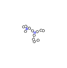 c1ccc(-c2cccc3ccc(-c4ccc(N(c5ccc(-c6ccc7ccccc7c6)cc5)c5ccc(-c6ccc7c8ccc9ccccc9c8n(-c8ccccc8)c7c6)cc5)cc4)cc23)cc1